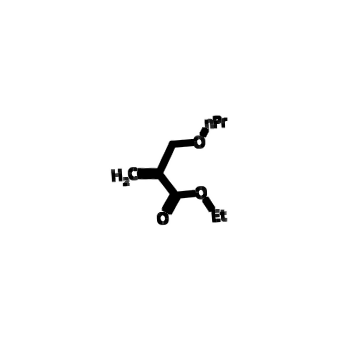 C=C(COCCC)C(=O)OCC